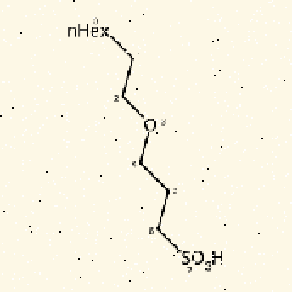 CCCCCCCCOCCCS(=O)(=O)O